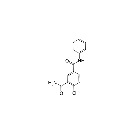 NC(=O)c1cc(C(=O)Nc2ccccc2)ccc1Cl